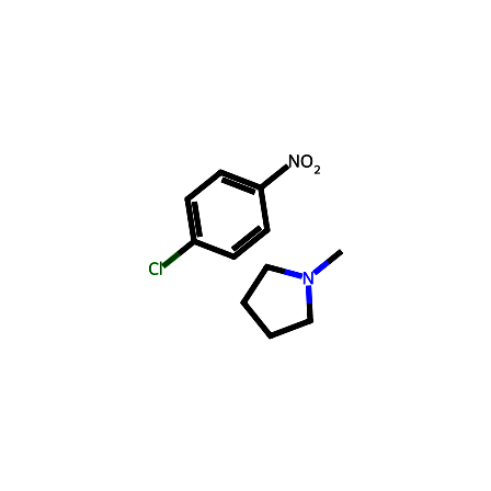 CN1CCCC1.O=[N+]([O-])c1ccc(Cl)cc1